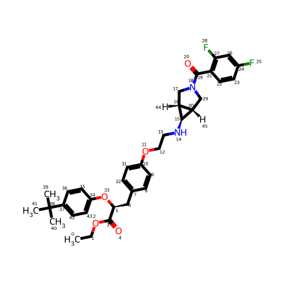 CCOC(=O)[C@H](Cc1ccc(OCCN[C@H]2[C@@H]3CN(C(=O)c4ccc(F)cc4F)C[C@@H]32)cc1)Oc1ccc(C(C)(C)C)cc1